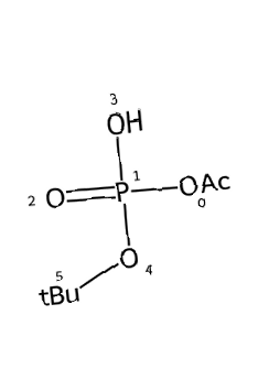 CC(=O)OP(=O)(O)OC(C)(C)C